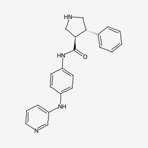 O=C(Nc1ccc(Nc2cccnc2)cc1)[C@H]1CNC[C@@H]1c1ccccc1